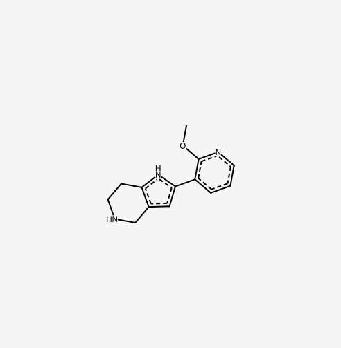 COc1ncccc1-c1cc2c([nH]1)CCNC2